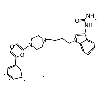 NC(=O)Nc1cn(CCCCN2CCN(C3=COC=C(C4=CC=CCC4)O3)CC2)c2ccccc12